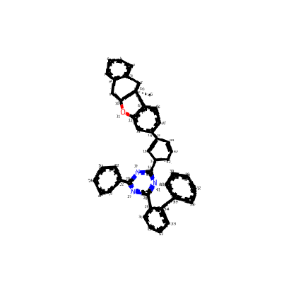 C[C@@]12Cc3ccccc3CC1Oc1cc(C3=CC(c4nc(-c5ccccc5)nc(-c5ccccc5-c5ccccc5)n4)CC=C3)ccc12